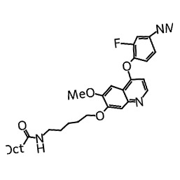 CCCCCCCCC(=O)NCCCCCOc1cc2nccc(Oc3ccc(NC)cc3F)c2cc1OC